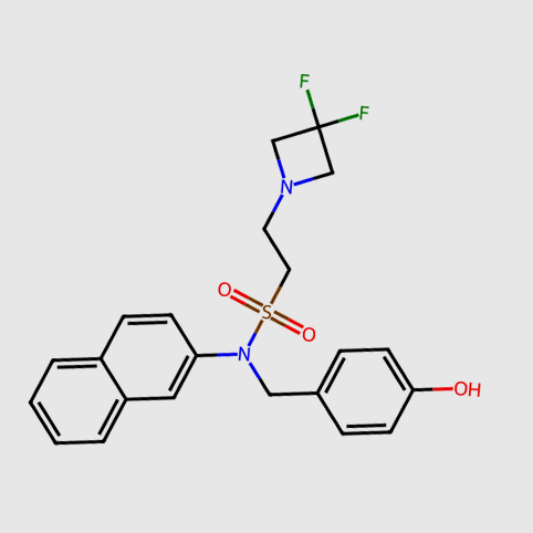 O=S(=O)(CCN1CC(F)(F)C1)N(Cc1ccc(O)cc1)c1ccc2ccccc2c1